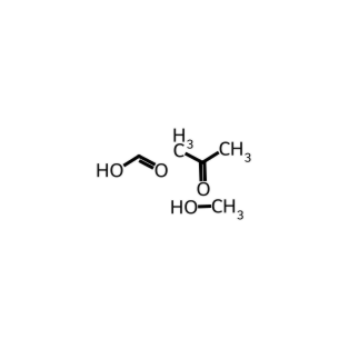 CC(C)=O.CO.O=CO